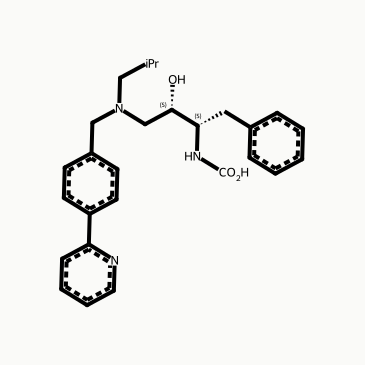 CC(C)CN(Cc1ccc(-c2ccccn2)cc1)C[C@H](O)[C@H](Cc1ccccc1)NC(=O)O